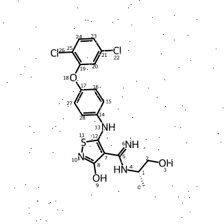 C[C@@H](CO)NC(=N)c1c(O)nsc1Nc1ccc(Oc2cc(Cl)ccc2Cl)cc1